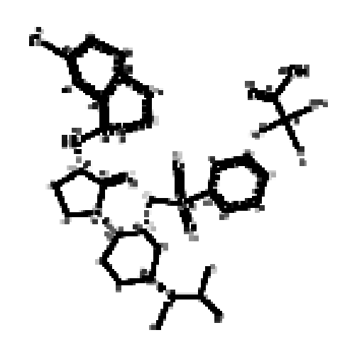 CC(C)N(C)[C@@H]1CC[C@H](N2CC[C@H](Nc3ncnc4ccc(Cl)cc34)C2=O)[C@H](CS(=O)(=O)c2ccccc2)C1.O=C(O)C(F)(F)F